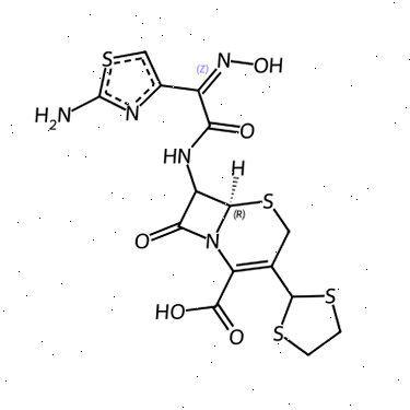 Nc1nc(/C(=N/O)C(=O)NC2C(=O)N3C(C(=O)O)=C(C4SCCS4)CS[C@H]23)cs1